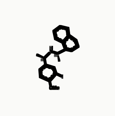 COc1ccc([C@@H](C)N[C@@H](C)c2cccc3ccccc23)cc1I